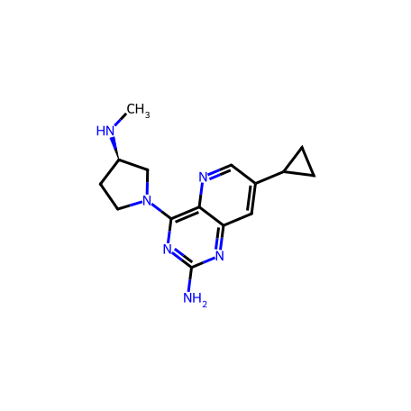 CN[C@@H]1CCN(c2nc(N)nc3cc(C4CC4)cnc23)C1